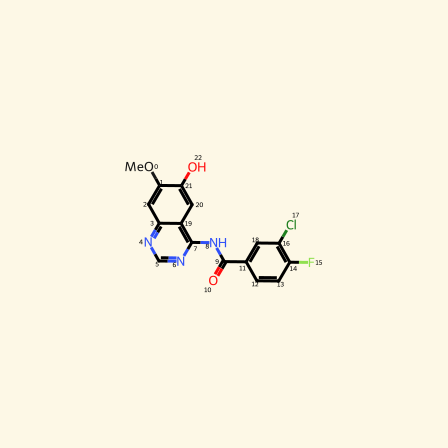 COc1cc2ncnc(NC(=O)c3ccc(F)c(Cl)c3)c2cc1O